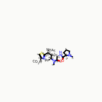 CC[C@H](C)[C@H](NC(=O)[C@@]1(C)CCCN1C)C(=O)N(C)[C@H](C[C@@H](NC(C)=O)c1nc(C(=O)O)cs1)C(C)C